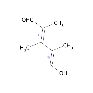 CC(=C\O)/C(C)=C(\C)C=O